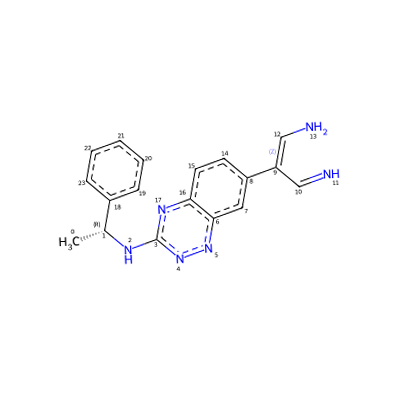 C[C@@H](Nc1nnc2cc(/C(C=N)=C/N)ccc2n1)c1ccccc1